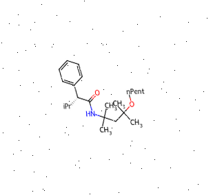 CCCCCOC(C)(C)CC(C)(C)NC(=O)[C@@H](c1ccccc1)C(C)C